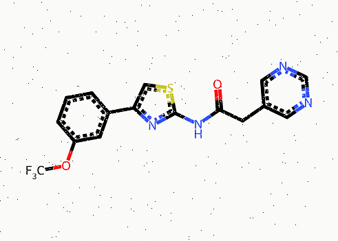 O=C(Cc1cncnc1)Nc1nc(-c2cccc(OC(F)(F)F)c2)cs1